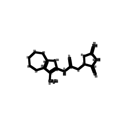 CCOC(=O)c1c(NC(=O)CC2SC(=N)NC2=O)sc2c1CCCCC2